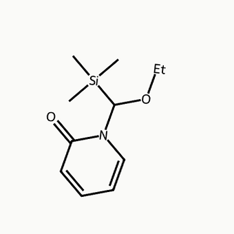 CCOC(n1ccccc1=O)[Si](C)(C)C